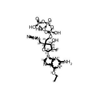 CCOc1nc(N)nc2c1ncn2[C@@H]1O[C@](CN=[N+]=[N-])(COP(=O)(O)OP(=O)(O)OP(=O)(O)O)[C@@H](O)[C@H]1F